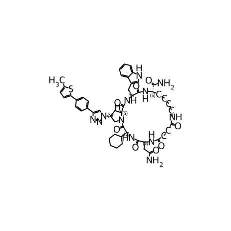 Cc1ccc(-c2ccc(-c3cn([C@H]4C[C@H]5C(=O)N[C@@H](Cc6c[nH]c7ccccc67)C(=O)N[C@H](C(N)=O)CCCCNC(=O)CCC(=O)N[C@@H](CC(N)=O)C(=O)N[C@@H](C6CCCCC6)C(=O)N5C4)nn3)cc2)s1